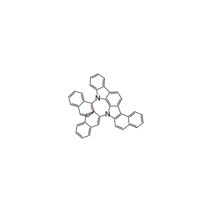 c1ccc2cc(-n3c4ccc5ccccc5c4c4ccc5c6ccccc6n(-c6cccc7ccccc67)c5c43)ccc2c1